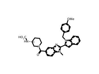 COc1ccc(Cn2c(-c3nc4cc(C(=O)N5CCC[C@@H](NC(=O)O)C5)ccc4n3C)cc3ccccc32)cc1